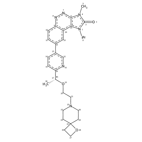 CC(C)n1c(=O)n(C)c2nnc3ccc(-c4ccc([C@@H](C)OCCN5CCC6(CCO6)CC5)nc4)cc3c21